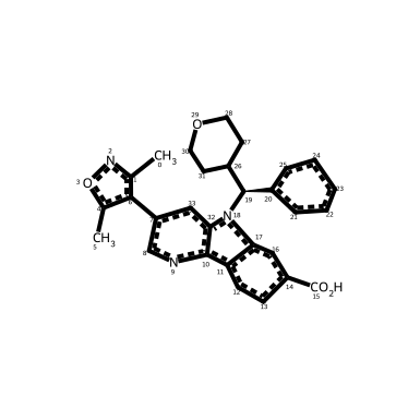 Cc1noc(C)c1-c1cnc2c3ccc(C(=O)O)cc3n([C@H](c3ccccc3)C3CCOCC3)c2c1